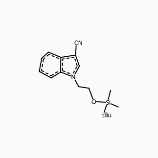 CC(C)(C)[Si](C)(C)OCCn1cc(C#N)c2ccccc21